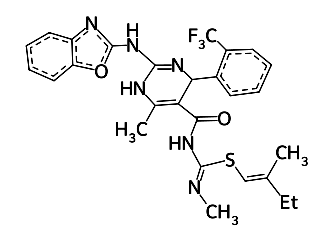 CC/C(C)=C/S/C(=N\C)NC(=O)C1=C(C)NC(Nc2nc3ccccc3o2)=NC1c1ccccc1C(F)(F)F